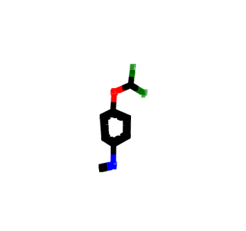 C=Nc1ccc(OC(F)F)cc1